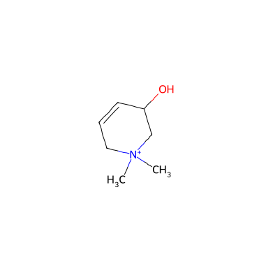 C[N+]1(C)CC=CC(O)C1